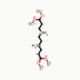 CCOC(CC[SiH2]CC[SiH2]CCC(OCC)OCC)OCC